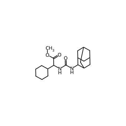 COC(=O)C(NC(=O)NC1C2CC3CC(C2)CC1C3)C1CCCCC1